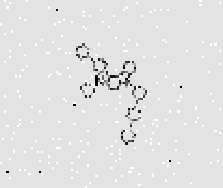 c1ccc(-c2ccc(-c3cccc(-n4c5ccccc5c5c6c7ccc(-c8ccccc8)cc7n(-c7ccccc7)c6ccc54)c3)cc2)cc1